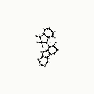 Cc1ccc2c(oc3ncccc32)c1N1c2ncccc2N(C)C1(C)C